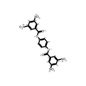 O=C(Oc1ccc(OC(=O)c2cc([N+](=O)[O-])cc([N+](=O)[O-])c2)cc1)c1cc([N+](=O)[O-])cc([N+](=O)[O-])c1